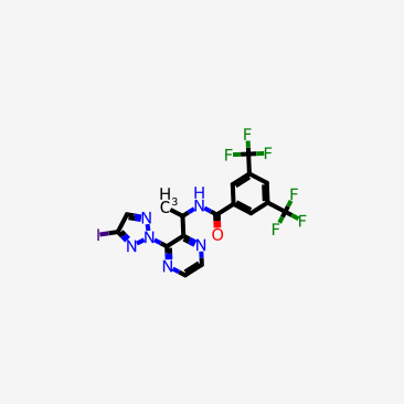 CC(NC(=O)c1cc(C(F)(F)F)cc(C(F)(F)F)c1)c1nccnc1-n1ncc(I)n1